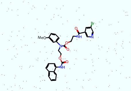 COc1cccc(N(CCOC(=O)Nc2cccc3ccccc23)C(=O)OCCNC(=O)c2cncc(Br)c2)c1